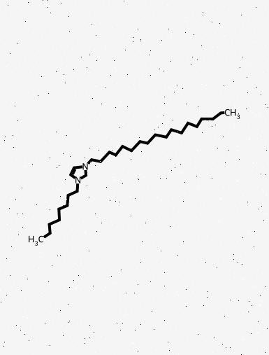 CCCCCCCCCCCCCCCCCCN1C=CN(CCCCCCCC)C1